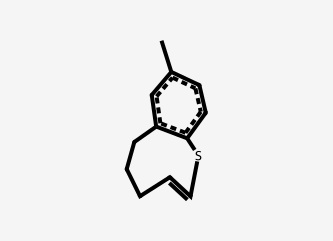 Cc1ccc2c(c1)CCC/C=C/S2